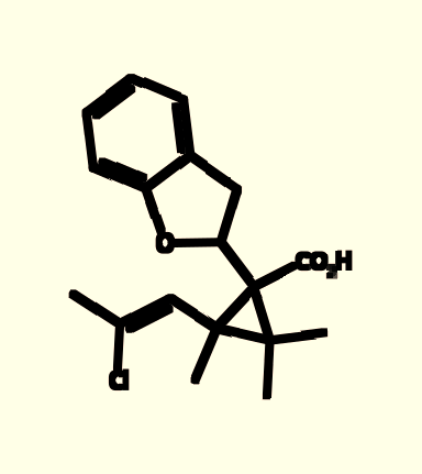 CC(Cl)=CC1(C)C(C)(C)C1(C(=O)O)C1Cc2ccccc2O1